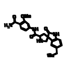 COc1cc(NC(=O)C2CC3(CN2)C(=O)Nc2ccc(CC(C)(C)C)cc23)ccc1C(N)=O